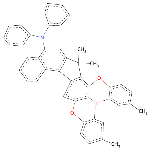 Cc1ccc2c(c1)B1c3cc(C)ccc3Oc3c1c(cc1c3C(C)(C)c3cc(N(c4ccccc4)c4ccccc4)c4ccccc4c3-1)O2